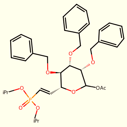 CC(=O)OC1O[C@H](/C=C/P(=O)(OC(C)C)OC(C)C)[C@@H](OCc2ccccc2)[C@H](OCc2ccccc2)[C@@H]1OCc1ccccc1